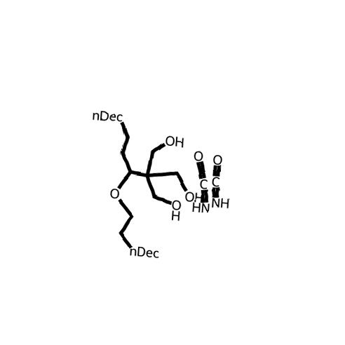 CCCCCCCCCCCCOC(CCCCCCCCCCCC)C(CO)(CO)CO.N=C=O.N=C=O